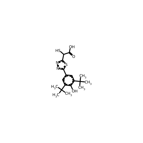 CC(C)(C)c1cc(-c2nnc(C(S)C(=O)O)s2)cc(C(C)(C)C)c1O